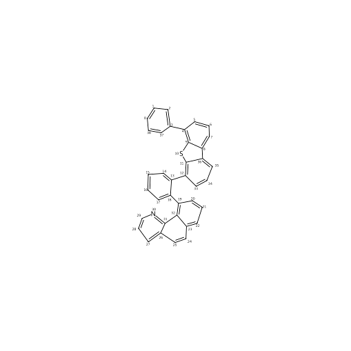 c1ccc(-c2cccc3c2sc2c(-c4ccccc4-c4cccc5ccc6cccnc6c45)cccc23)cc1